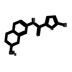 CN1CCC2CC=C(NC(=O)c3ccc(Cl)s3)C=C2C1